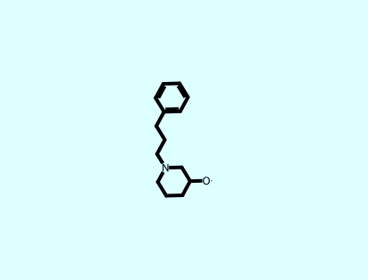 [O]C1CCCN(CCCc2ccccc2)C1